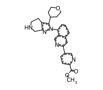 COC(=O)c1ccc(-c2cc3cccc(-n4nc5c(c4C4CCOCC4)CCNC5)c3cn2)cn1